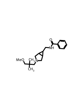 COCC(C)(C)CN1CC2C(CNC(=O)c3ccccc3)C2C1